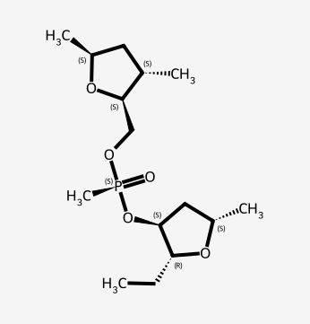 CC[C@H]1O[C@@H](C)C[C@@H]1O[P@@](C)(=O)OC[C@H]1O[C@@H](C)C[C@@H]1C